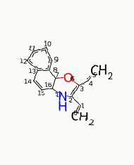 C=CC1=C(C=C)OC2c3ccccc3C=CC2N1